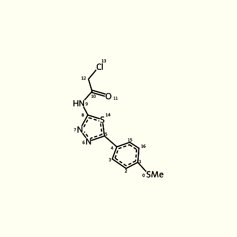 CSc1ccc(-c2nnc(NC(=O)CCl)s2)cc1